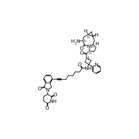 N[C@H]1C[C@@H]2C[C@@H]2C[C@H]2CC[C@@H](C(=O)N3CC(NC(=O)CCCCCC#Cc4cccc5c4CN(C4CCC(=O)NC4=O)C5=O)(c4ccccn4)C3)N2C1=O